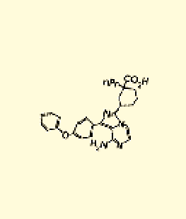 CCC[C@@]1(C(=O)O)CCC[C@@H](c2nc(-c3ccc(Oc4ccccc4)cc3)c3c(N)nccn23)C1